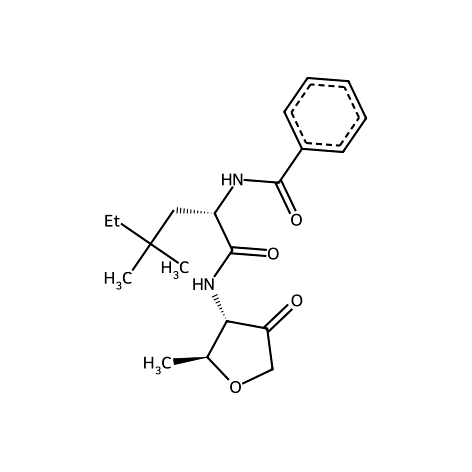 CCC(C)(C)C[C@H](NC(=O)c1ccccc1)C(=O)N[C@@H]1C(=O)CO[C@H]1C